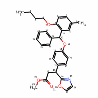 CCCCOc1ccc(C)cc1C(Oc1ccc(C(CC(=O)OC)c2ncco2)cc1)c1ccccc1